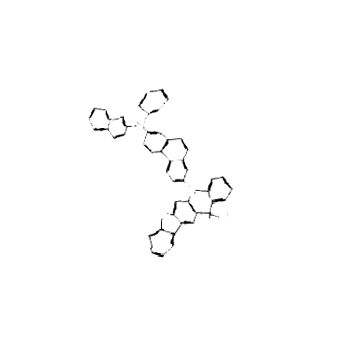 CC1(C)c2ccccc2N(c2ccc3c(ccc4cc(N(c5ccccc5)c5ccc6ccccc6c5)ccc43)c2)c2cc3sc4ccccc4c3cc21